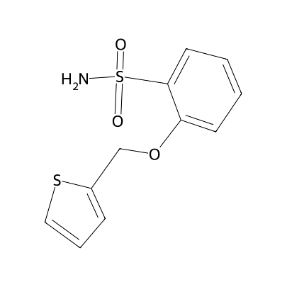 NS(=O)(=O)c1ccccc1OCc1cccs1